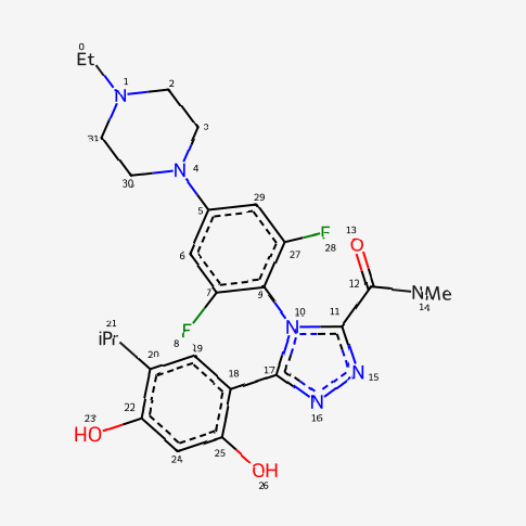 CCN1CCN(c2cc(F)c(-n3c(C(=O)NC)nnc3-c3cc(C(C)C)c(O)cc3O)c(F)c2)CC1